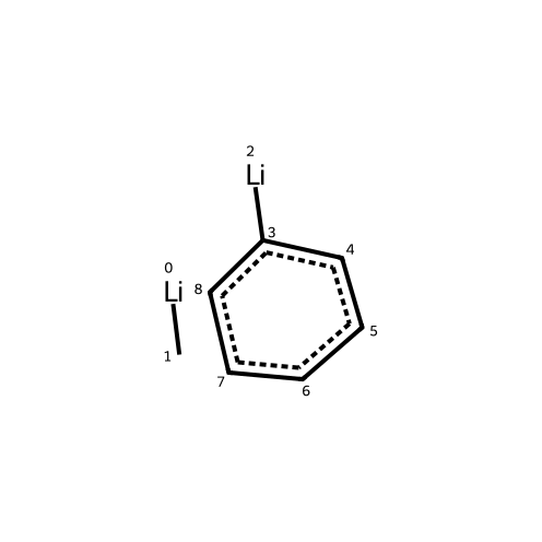 [Li][CH3].[Li][c]1ccccc1